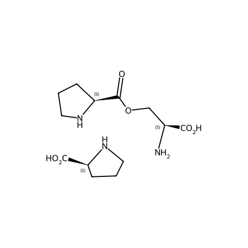 N[C@@H](COC(=O)[C@@H]1CCCN1)C(=O)O.O=C(O)[C@@H]1CCCN1